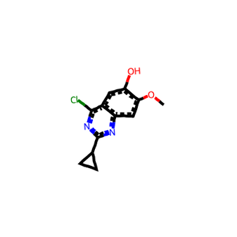 COc1cc2nc(C3CC3)nc(Cl)c2cc1O